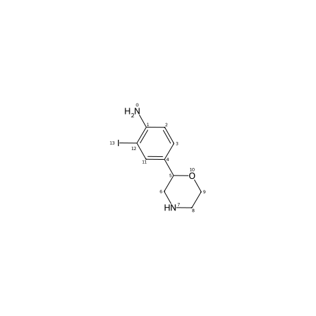 Nc1ccc(C2CNCCO2)cc1I